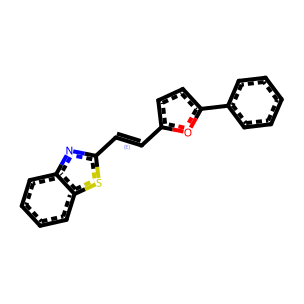 C(=C\c1nc2ccccc2s1)/c1ccc(-c2ccccc2)o1